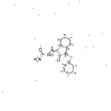 NC(=O)NN=C1C(=O)N(Cc2ccccc2)c2ccccc21